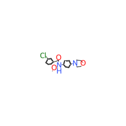 COc1ccc(Cl)cc1C(=O)Nc1ccc(N2CCOCC2)cc1